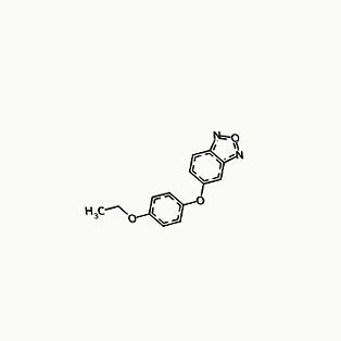 CCOc1ccc(Oc2ccc3nonc3c2)cc1